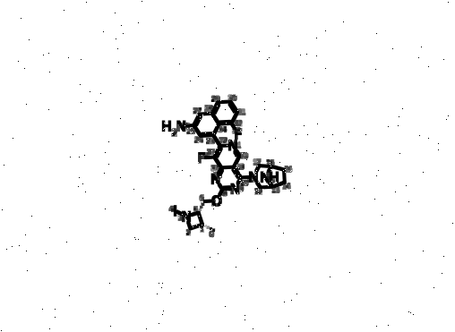 C[C@@H]1CN(I)[C@@H]1COc1nc(N2CC3CCC(C2)N3)c2cnc(-c3cc(N)cc4cccc(F)c34)c(F)c2n1